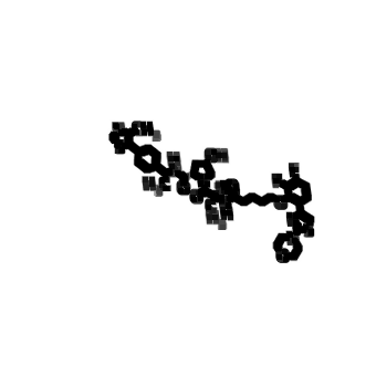 Cc1ncsc1-c1ccc([C@H](C)NC(=O)[C@@H]2C[C@@H](O)CN2C(=O)[C@](C)(NC(=O)CCCCOc2c(-c3csc(N4CCOCC4)n3)ccc(F)c2F)C(C)(C)C)cc1